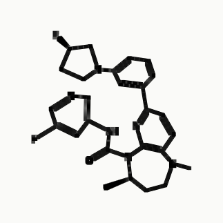 C[C@@H]1CCN(C)c2ccc(-c3cccc(N4CC[C@@H](F)C4)c3)nc2N1C(=O)Nc1cncc(F)c1